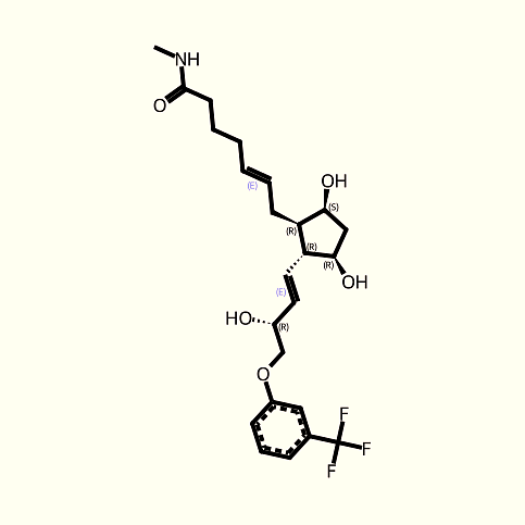 CNC(=O)CCC/C=C/C[C@@H]1[C@@H](/C=C/[C@@H](O)COc2cccc(C(F)(F)F)c2)[C@H](O)C[C@@H]1O